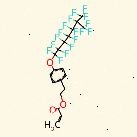 C=CC(=O)OCCc1ccc(OC(F)(F)C(F)(F)C(F)(F)C(F)(F)C(F)(F)C(F)(C(F)(F)F)C(F)(F)F)cc1